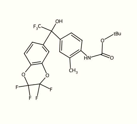 Cc1cc(C(O)(c2ccc3c(c2)OC(F)(F)C(F)(F)O3)C(F)(F)F)ccc1NC(=O)OC(C)(C)C